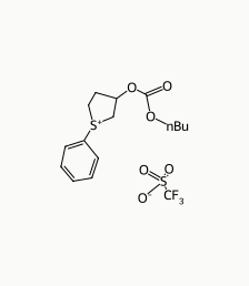 CCCCOC(=O)OC1CC[S+](c2ccccc2)C1.O=S(=O)([O-])C(F)(F)F